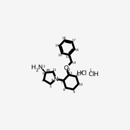 Cl.Cl.N[C@@H]1CCN(C2CCCCC2OCc2ccccc2)C1